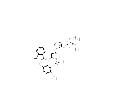 COc1ccc(CN2C(=O)c3ccccc3C2Nc2cc([C@H]3CC[C@@H](O[Si](C)(C)C(C)(C)C)C3)nn2C(C)(C)C)cc1